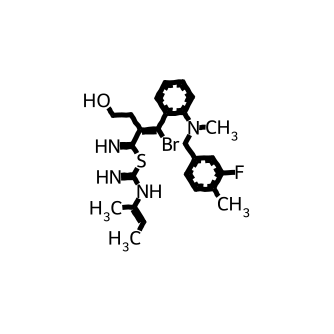 C/C=C(\C)NC(=N)SC(=N)/C(CCO)=C(\Br)c1ccccc1N(C)Cc1ccc(C)c(F)c1